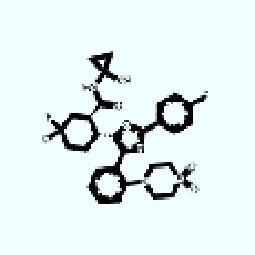 N#CC1(NC(=O)[C@@H]2CC(F)(F)CC[C@H]2c2oc(-c3ccc(F)cc3)nc2-c2ccccc2N2CCS(=O)(=O)CC2)CC1